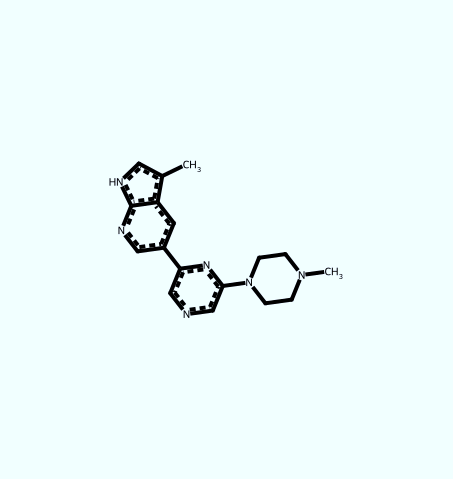 Cc1c[nH]c2ncc(-c3cncc(N4CCN(C)CC4)n3)cc12